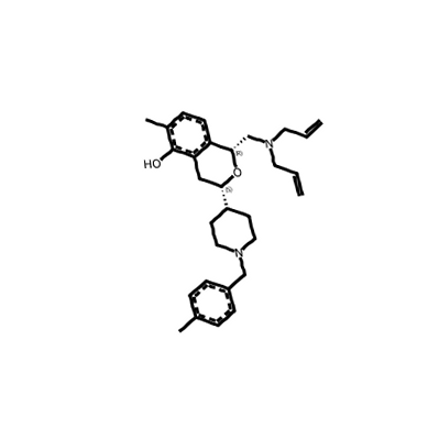 C=CCN(CC=C)C[C@@H]1O[C@H](C2CCN(Cc3ccc(C)cc3)CC2)Cc2c1ccc(C)c2O